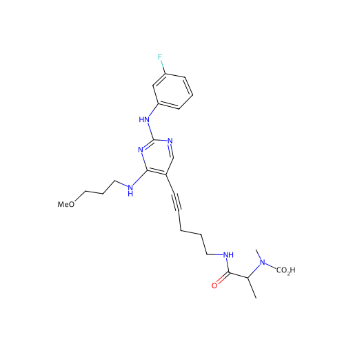 COCCCNc1nc(Nc2cccc(F)c2)ncc1C#CCCCNC(=O)C(C)N(C)C(=O)O